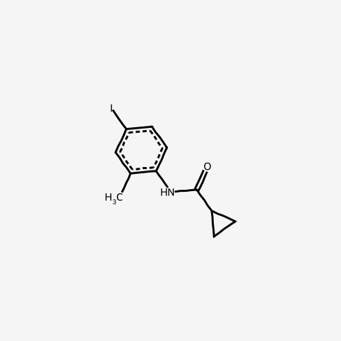 Cc1cc(I)ccc1NC(=O)C1CC1